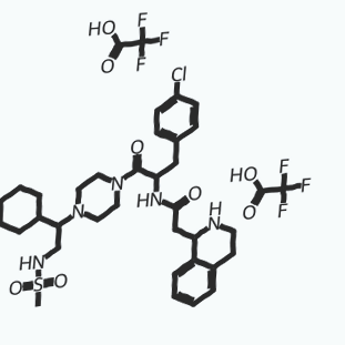 CS(=O)(=O)NCC(C1CCCCC1)N1CCN(C(=O)C(Cc2ccc(Cl)cc2)NC(=O)CC2NCCc3ccccc32)CC1.O=C(O)C(F)(F)F.O=C(O)C(F)(F)F